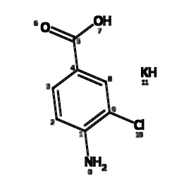 Nc1ccc(C(=O)O)cc1Cl.[KH]